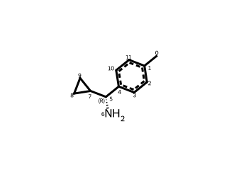 Cc1ccc([C@H](N)C2CC2)cc1